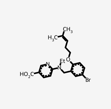 CCN(Cc1cc(Br)ccc1OCCC=C(C)C)c1ccc(C(=O)O)cn1